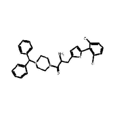 NC(Cc1ccc(-c2c(Cl)cccc2Cl)s1)C(=O)N1CCN(C(c2ccccc2)c2ccccc2)CC1